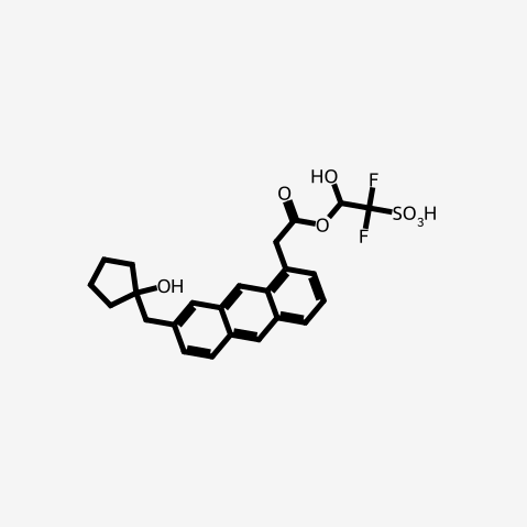 O=C(Cc1cccc2cc3ccc(CC4(O)CCCC4)cc3cc12)OC(O)C(F)(F)S(=O)(=O)O